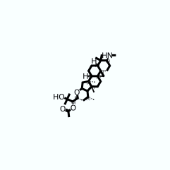 CN[C@H]1CC[C@]23C[C@]24CC[C@]2(C)C5C(C[C@@]2(C)[C@@H]4CC[C@H]3C1(C)C)O[C@@H]([C@H](OC(C)=O)C(C)(C)O)C[C@H]5C